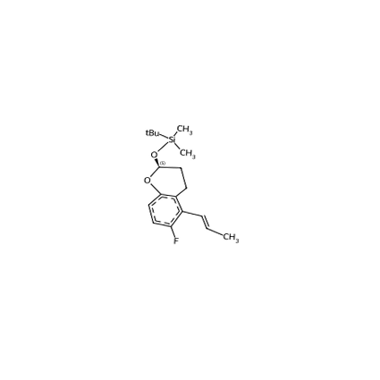 CC=Cc1c(F)ccc2c1CC[C@H](O[Si](C)(C)C(C)(C)C)O2